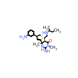 CCC(C)NCC[C@H]1C(=O)N(C)C(=N)N[C@]1(C)C1=CC(c2cccc(N)c2)CS1